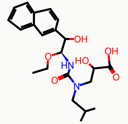 CCO[C@H](NC(=O)N(CC(C)C)CC(O)C(=O)O)C(O)c1ccc2ccccc2c1